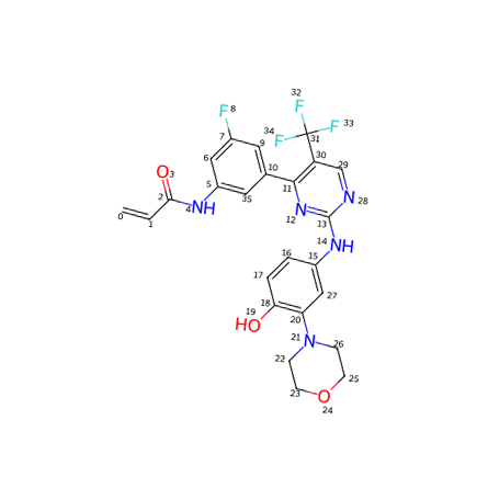 C=CC(=O)Nc1cc(F)cc(-c2nc(Nc3ccc(O)c(N4CCOCC4)c3)ncc2C(F)(F)F)c1